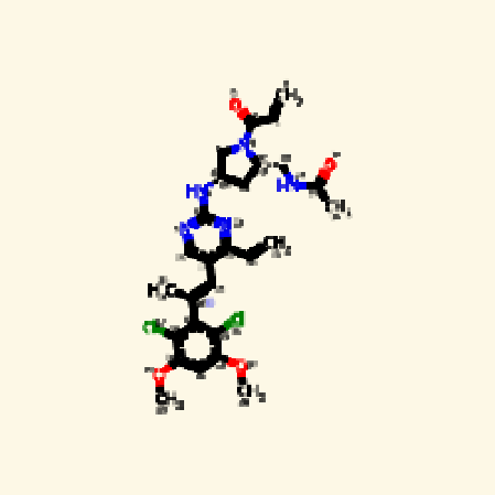 C=CC(=O)N1C[C@@H](Nc2ncc(/C=C(\C)c3c(Cl)c(OC)cc(OC)c3Cl)c(C=C)n2)C[C@H]1CNC(C)=O